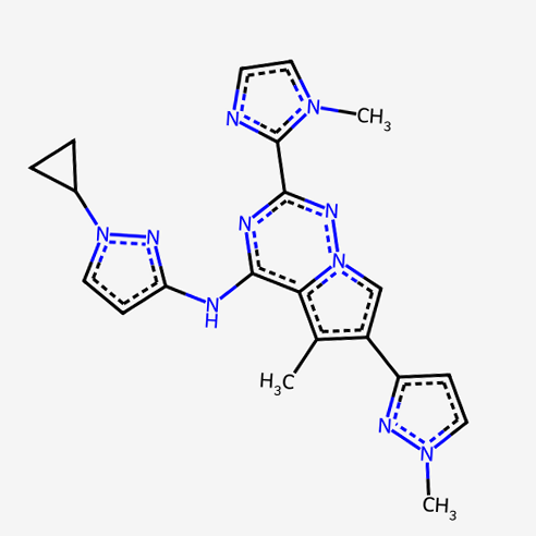 Cc1c(-c2ccn(C)n2)cn2nc(-c3nccn3C)nc(Nc3ccn(C4CC4)n3)c12